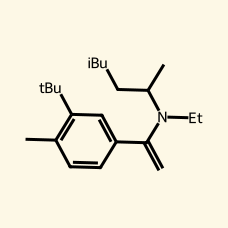 C=C(c1ccc(C)c(C(C)(C)C)c1)N(CC)C(C)CC(C)CC